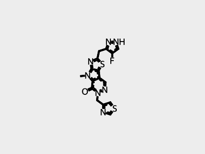 Cn1c2nc(Cc3n[nH]cc3F)sc2c2cnn(Cc3cscn3)c(=O)c21